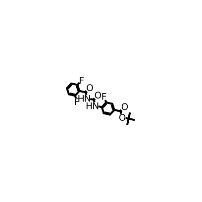 CC(C)(C)OC(=O)c1ccc(NC(=O)NC(=O)c2c(F)cccc2F)c(F)c1